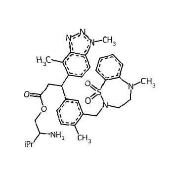 Cc1ccc(C(CC(=O)OCC(N)C(C)C)c2ccc3c(nnn3C)c2C)cc1CN1CCN(C)c2ccccc2S1(=O)=O